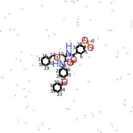 CS(=O)(=O)c1ccc(C(=O)NC(COCc2ccccc2)C(=O)Nc2ccc(Oc3ccccc3)cc2)cc1